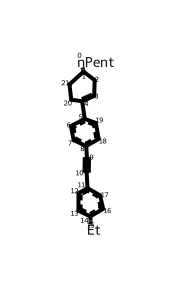 CCCCCC1CC=C(c2ccc(C#Cc3ccc(CC)cc3)cc2)CC1